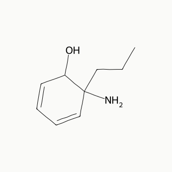 CCCC1(N)C=CC=CC1O